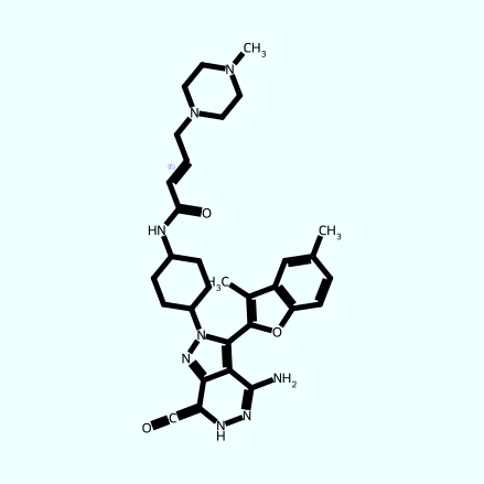 Cc1ccc2oc(-c3c4c(nn3C3CCC(NC(=O)/C=C/CN5CCN(C)CC5)CC3)C(=C=O)NN=C4N)c(C)c2c1